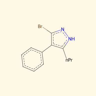 CCCc1[nH]nc(Br)c1-c1ccccc1